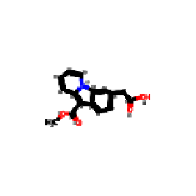 COC(=O)c1c2ccc(CC(=O)O)cc2n2ccccc12